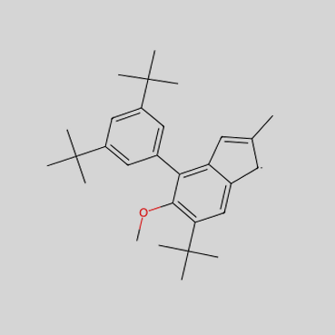 COc1c(C(C)(C)C)cc2c(c1-c1cc(C(C)(C)C)cc(C(C)(C)C)c1)C=C(C)[CH]2